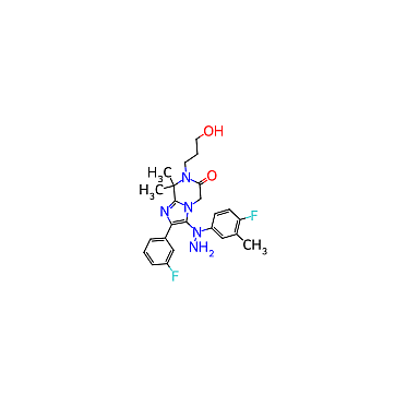 Cc1cc(N(N)c2c(-c3cccc(F)c3)nc3n2CC(=O)N(CCCO)C3(C)C)ccc1F